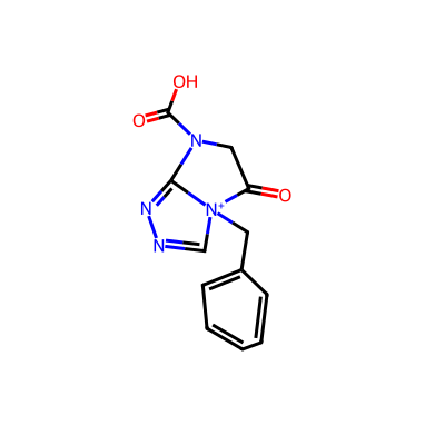 O=C(O)N1CC(=O)[N+]2(Cc3ccccc3)C=NN=C12